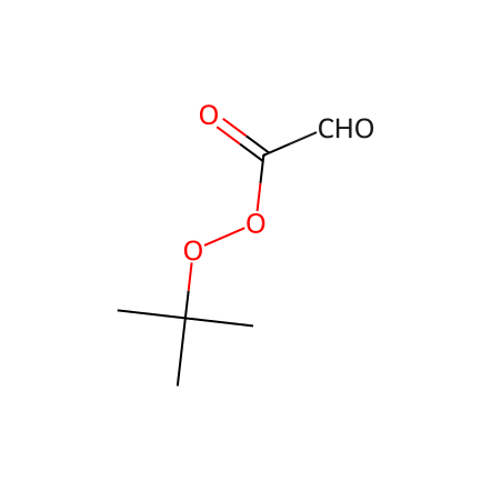 CC(C)(C)OOC(=O)C=O